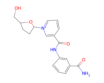 NC(=O)c1cccc(NC(=O)c2ccc[n+](C3CCC(CO)O3)c2)c1